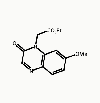 CCOC(=O)Cn1c(=O)cnc2ccc(OC)cc21